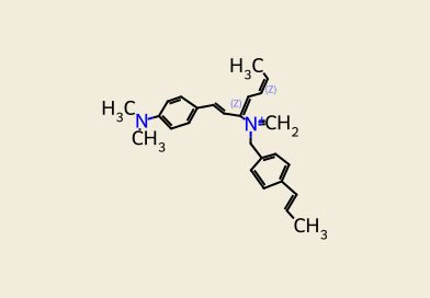 C=[N+](Cc1ccc(C=CC)cc1)/C(C=Cc1ccc(N(C)C)cc1)=C\C=C/C